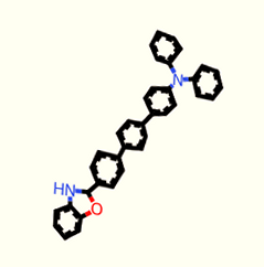 c1ccc(N(c2ccccc2)c2ccc(-c3ccc(-c4ccc(C5Nc6ccccc6O5)cc4)cc3)cc2)cc1